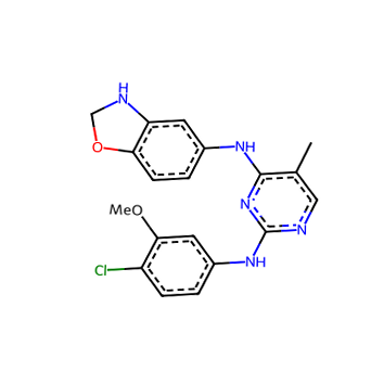 COc1cc(Nc2ncc(C)c(Nc3ccc4c(c3)NCO4)n2)ccc1Cl